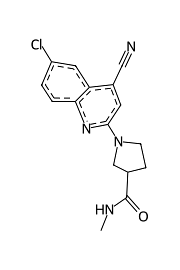 CNC(=O)C1CCN(c2cc(C#N)c3cc(Cl)ccc3n2)C1